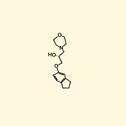 O[C@@H](COc1ccc2c(c1)CCC2)CN1CCOCC1